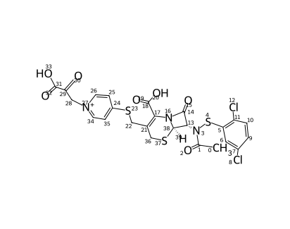 CC(=O)N(Sc1cc(Cl)ccc1Cl)[C@H]1C(=O)N2C(C(=O)O)=C(CSc3cc[n+](CC(=O)C(=O)O)cc3)CS[C@H]12